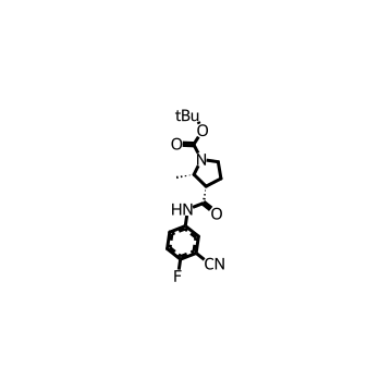 C[C@H]1[C@@H](C(=O)Nc2ccc(F)c(C#N)c2)CCN1C(=O)OC(C)(C)C